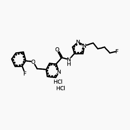 Cl.Cl.O=C(Nc1cnn(CCCCF)c1)c1cc(COc2ccccc2F)ccn1